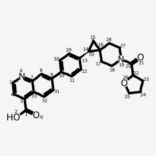 O=C(O)c1ccnc2cc(-c3ccc([C@H]4CC45CCN(C(=O)C4CCCO4)CC5)cc3)ccc12